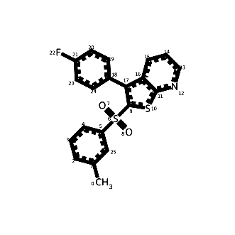 Cc1cccc(S(=O)(=O)c2sc3ncccc3c2-c2ccc(F)cc2)c1